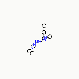 Cc1cccc(N2CCN(CCNCc3cc(-c4ccc(C5CCCCC5)cc4)n(-c4ccccc4)n3)CC2)c1C